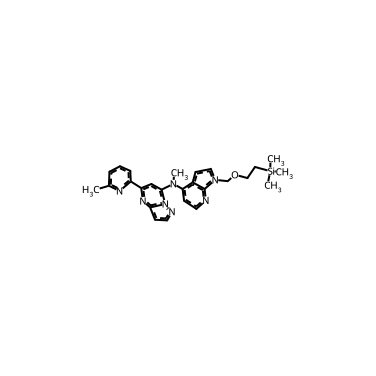 Cc1cccc(-c2cc(N(C)c3ccnc4c3ccn4COCC[Si](C)(C)C)n3nccc3n2)n1